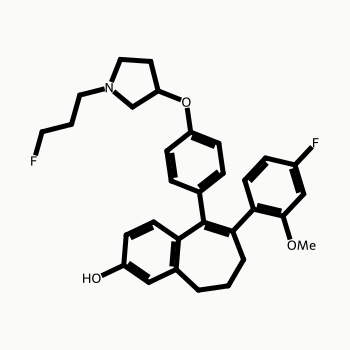 COc1cc(F)ccc1C1=C(c2ccc(OC3CCN(CCCF)C3)cc2)c2ccc(O)cc2CCC1